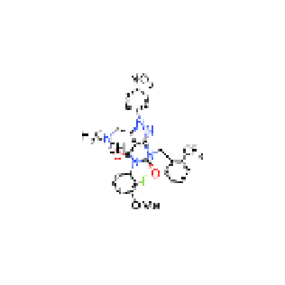 COc1cccc(-n2c(=O)c3c(CN(C)C)n(-c4ccc([N+](=O)[O-])cc4)nc3n(Cc3ccccc3C(F)(F)F)c2=O)c1F